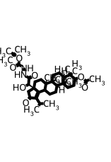 CC(=O)OC1CCC2(C)[C@H]3CCC4C5=C(C(C)C)C(=O)C[C@]5(C(O)C(=O)NNC(=O)OC(C)(C)C)CC[C@@]4(C)[C@]3(C)CC[C@H]2C1(C)C